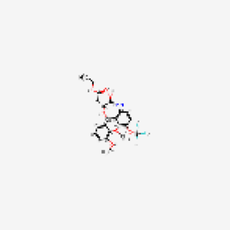 CCOC(=O)C[C@H]1O[C@H](c2cccc(OC)c2OC)c2cc(OC(F)(F)F)ccc2NC1=O